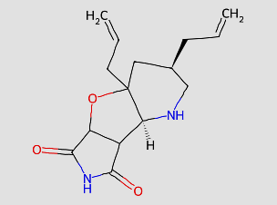 C=CC[C@H]1CN[C@H]2C3C(=O)NC(=O)C3OC2(CC=C)C1